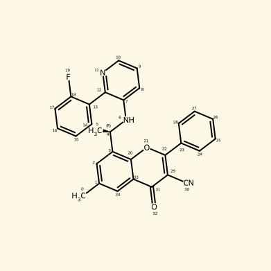 Cc1cc([C@@H](C)Nc2cccnc2-c2ccccc2F)c2oc(-c3ccccc3)c(C#N)c(=O)c2c1